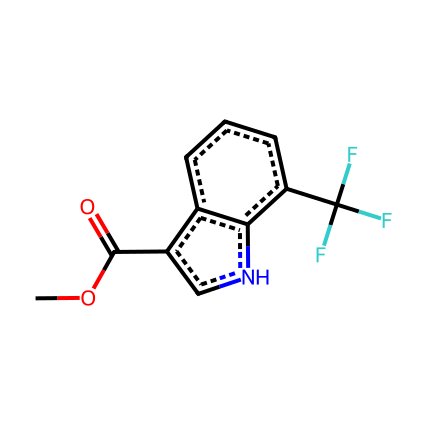 COC(=O)c1c[nH]c2c(C(F)(F)F)cccc12